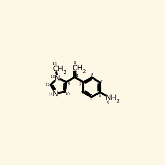 C=C(c1ccc(N)cc1)c1cncn1C